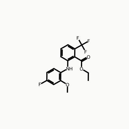 CCOC(=O)c1c(Nc2ccc(F)cc2OC)cccc1C(F)(F)F